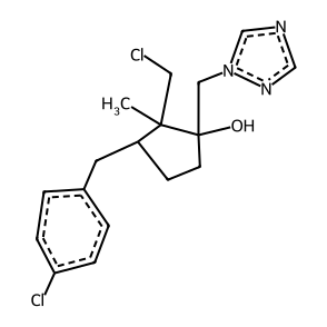 CC1(CCl)C(Cc2ccc(Cl)cc2)CCC1(O)Cn1cncn1